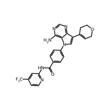 Nc1ncnc2c(C3=CCOCC3)cn(-c3ccc(C(=O)Nc4cc(C(F)(F)F)ccn4)cc3)c12